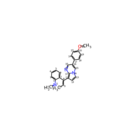 C=Nc1ccccc1/C(=C\C)c1ccn2cc(-c3ccc(OC)cc3)cnc12